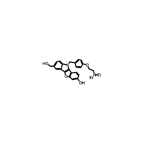 CCN(CC)CCOc1ccc(Cn2c3ccc(CO)cc3c3oc4cc(O)ccc4c32)cc1